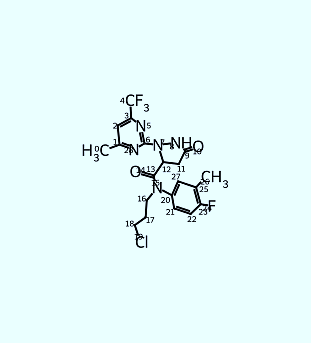 Cc1cc(C(F)(F)F)nc(N2NC(=O)CC2C(=O)N(CCCCl)c2ccc(F)c(C)c2)n1